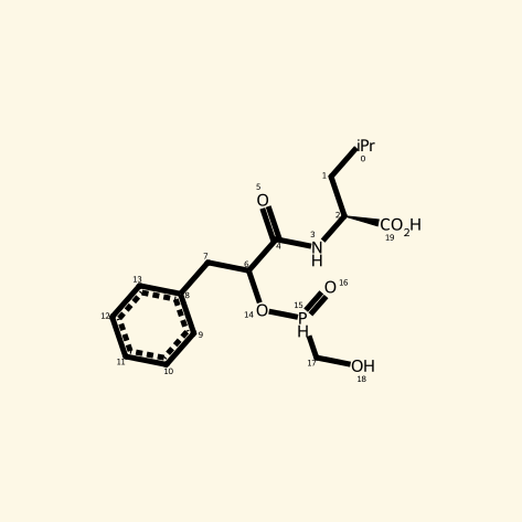 CC(C)C[C@H](NC(=O)C(Cc1ccccc1)O[PH](=O)CO)C(=O)O